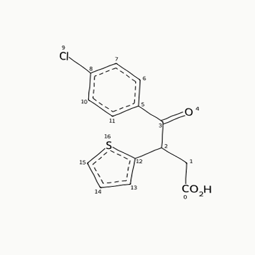 O=C(O)CC(C(=O)c1ccc(Cl)cc1)c1cccs1